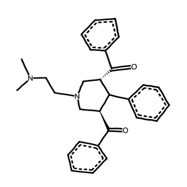 CN(C)CCN1C[C@H](C(=O)c2ccccc2)C(c2ccccc2)[C@@H](C(=O)c2ccccc2)C1